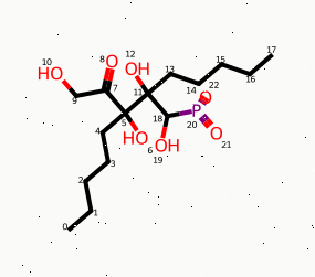 CCCCCC(O)(C(=O)CO)C(O)(CCCCC)C(O)P(=O)=O